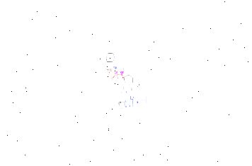 CC[C@]1(C)CC(=O)N([C@@H]2C[C@@H](C)c3ccc(C(=O)N[C@@H]4c5ccccc5C[C@]4(C)O)cc32)C(=N)N1